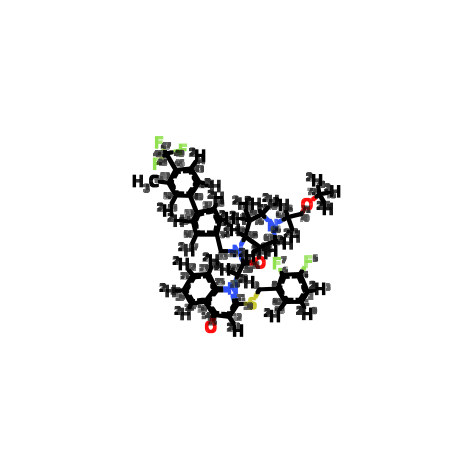 [2H]c1c([2H])c(F)c(F)c(CSc2c([2H])c(=O)c3c([2H])c([2H])c([2H])c([2H])c3n2C([2H])([2H])C(=O)N(Cc2c([2H])c([2H])c(-c3c([2H])c([2H])c(C(F)(F)F)c(C)c3[2H])c([2H])c2[2H])C2([2H])C([2H])([2H])C([2H])([2H])N(C([2H])([2H])COC([2H])([2H])[2H])C([2H])([2H])C2([2H])[2H])c1[2H]